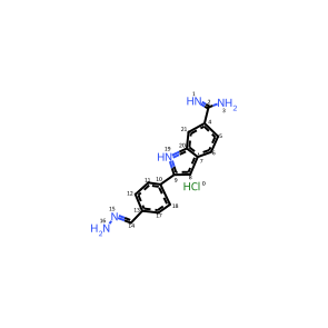 Cl.N=C(N)c1ccc2cc(-c3ccc(C=NN)cc3)[nH]c2c1